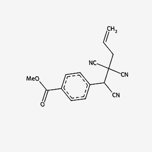 C=CCC(C#N)(C#N)C(C#N)c1ccc(C(=O)OC)cc1